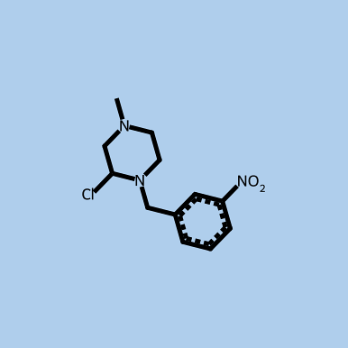 CN1CCN(Cc2cccc([N+](=O)[O-])c2)C(Cl)C1